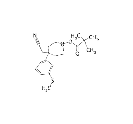 CSc1cccc(C2(CC#N)CCN(OC(=O)C(C)(C)C)CC2)c1